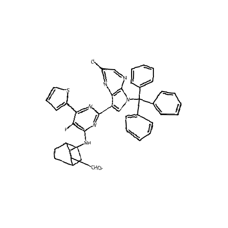 O=[C]C1C2CCC(CC2)C1Nc1nc(-c2cn(C(c3ccccc3)(c3ccccc3)c3ccccc3)c3ncc(Cl)nc23)nc(-c2cccs2)c1F